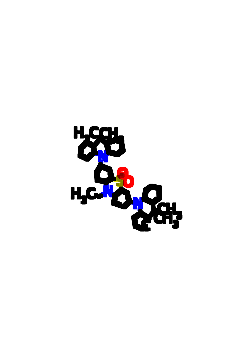 CCN1c2ccc(N3c4ccccc4C(C)(C)c4ccccc43)cc2S(=O)(=O)c2cc(N3c4ccccc4C(C)(C)c4ccccc43)ccc21